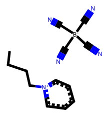 CCCC[n+]1ccccc1.N#C[B-](C#N)(C#N)C#N